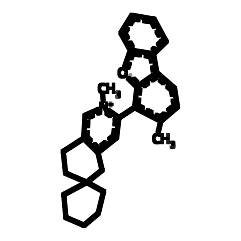 Cc1ccc2c(oc3ccccc32)c1-c1cc2c(c[n+]1C)CCC1(CCCCC1)C2